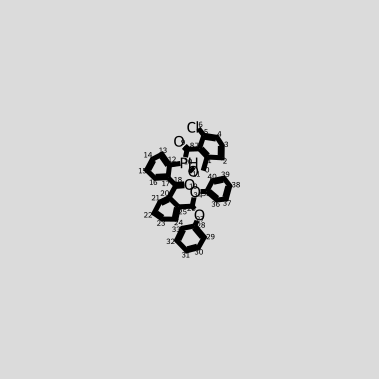 Cc1cccc(Cl)c1C(=O)[PH](=O)c1ccccc1C(=O)c1ccccc1C(Oc1ccccc1)Oc1ccccc1